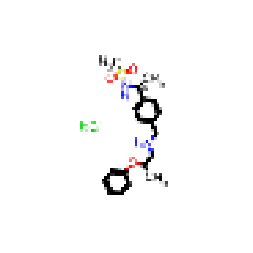 CC(CNCc1ccc([C@@H](C)NS(C)(=O)=O)cc1)Oc1ccccc1.Cl